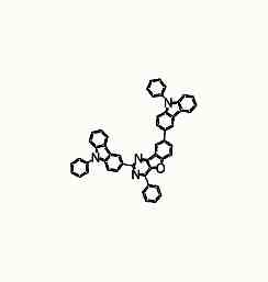 c1ccc(-c2nc(-c3ccc4c(c3)c3ccccc3n4-c3ccccc3)nc3c2oc2ccc(-c4ccc5c(c4)c4ccccc4n5-c4ccccc4)cc23)cc1